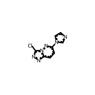 Clc1nnc2ccc(-n3ccnc3)nn12